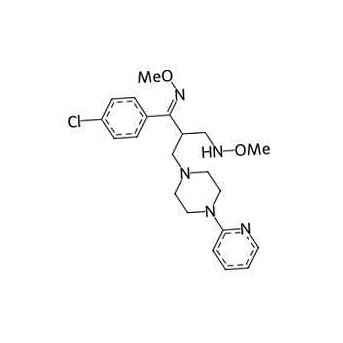 CO/N=C(\c1ccc(Cl)cc1)C(CNOC)CN1CCN(c2ccccn2)CC1